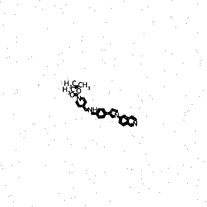 CC(C)(C)OC(=O)N1CCC(CNCc2ccc(C3CCN(c4ccc5cnccc5c4)C3)cc2)CC1